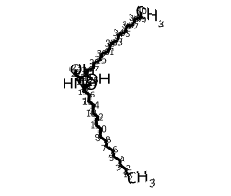 CCCCCCCCCCCCCCCCCCC(=O)NC(CO)C(O)CCCCCCCCCCCCCCC